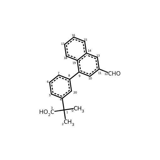 CC(C)(C(=O)O)c1cccc(-c2cc(C=O)cc3ccccc23)c1